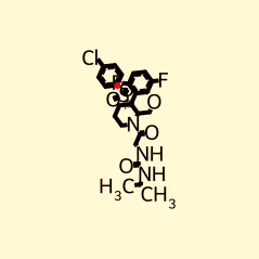 CC(C)NC(=O)NCC(=O)N1CCC[C@]2(S(=O)(=O)c3ccc(Cl)cc3)c3c(F)ccc(F)c3OCC12